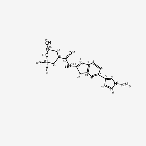 Cn1cc(-c2ccc3nc(NC(=O)C4CN(C#N)CC(F)(F)C4)sc3c2)cn1